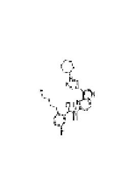 CC(Nc1ccn2ncc(-c3cnn(C4CCCCC4)c3)c2n1)c1cc(F)ccc1CCCCF